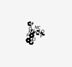 C=C(F)C(=O)N1CCN(c2nc(OC[C@@H]3CCCN3C)nc3c(F)c(-c4cccc5c4SCCC5)c(Cl)cc23)C[C@@H]1CC#N